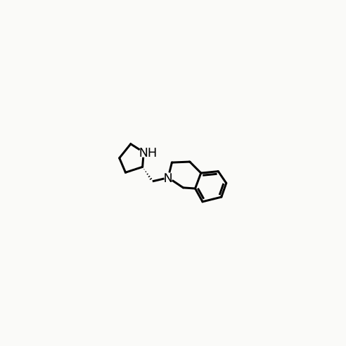 c1ccc2c(c1)CCN(C[C@@H]1CCCN1)C2